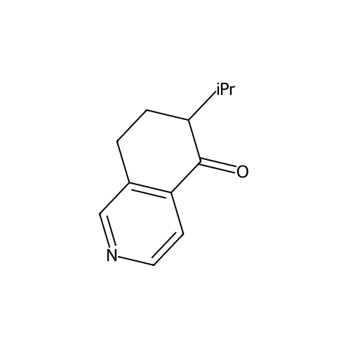 CC(C)C1CCc2cnccc2C1=O